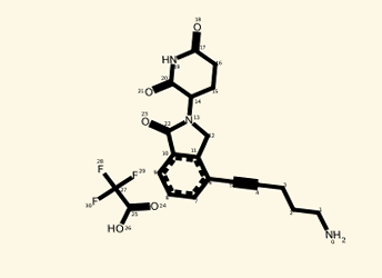 NCCCC#Cc1cccc2c1CN(C1CCC(=O)NC1=O)C2=O.O=C(O)C(F)(F)F